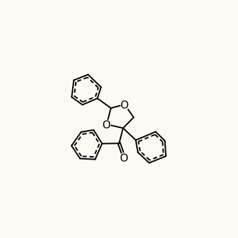 O=C(c1ccccc1)C1(c2ccccc2)COC(c2ccccc2)O1